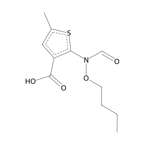 CCCCON(C=O)c1sc(C)cc1C(=O)O